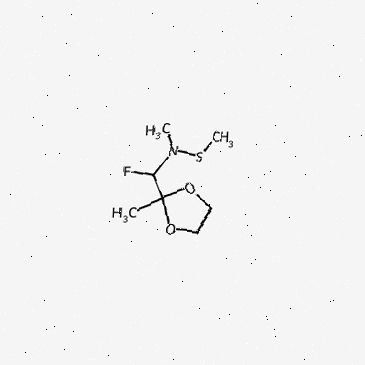 CSN(C)C(F)C1(C)OCCO1